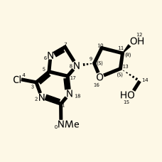 CNc1nc(Cl)c2ncn([C@@H]3C[C@@H](O)[C@H](CO)O3)c2n1